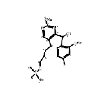 COc1cc(F)ccc1C(O)c1nc(SC)ncc1CCCCO[Si](C)(C)C(C)(C)C